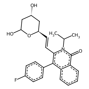 CC(C)n1c(/C=C/[C@@H]2C[C@@H](O)CC(O)O2)c(-c2ccc(F)cc2)c2ccccc2c1=O